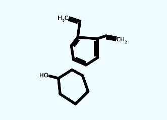 C=Cc1ccccc1C=C.OC1CCCCC1